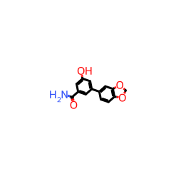 NC(=O)c1cc(O)cc(-c2ccc3c(c2)OCO3)c1